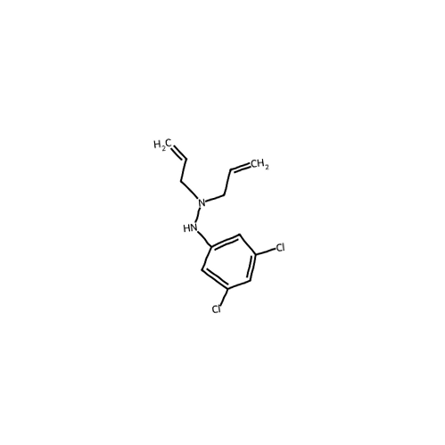 C=CCN(CC=C)Nc1cc(Cl)cc(Cl)c1